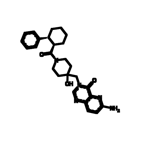 Nc1ccc2ncn(CC3(O)CCN(C(=O)[C@@H]4CCCC[C@H]4c4ccccc4)CC3)c(=O)c2n1